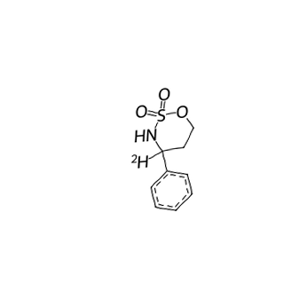 [2H]C1(c2ccccc2)CCOS(=O)(=O)N1